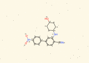 N#Cc1ccc(-c2ccc([N+](=O)[O-])cc2)cc1NC1CCC(O)CC1